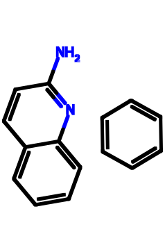 Nc1ccc2ccccc2n1.c1ccccc1